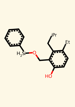 CCc1ccc(O)c(CO[SiH2]c2ccccc2)c1CC(C)C